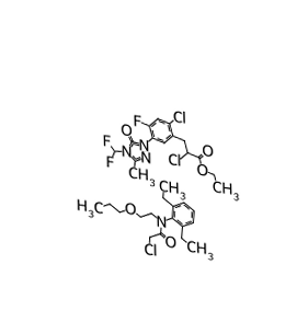 CCCOCCN(C(=O)CCl)c1c(CC)cccc1CC.CCOC(=O)C(Cl)Cc1cc(-n2nc(C)n(C(F)F)c2=O)c(F)cc1Cl